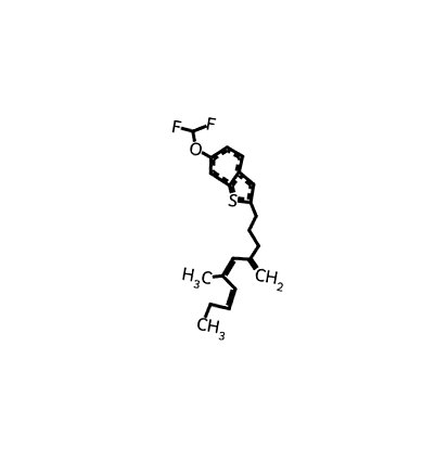 C=C(/C=C(C)\C=C/CC)CCCc1cc2ccc(OC(F)F)cc2s1